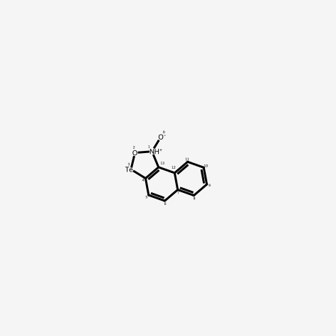 [O-][NH+]1O[Te]c2ccc3ccccc3c21